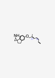 C=C/C=C\C=C(/C)COc1ccc2c(c1)CCC21CC1N